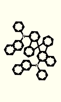 c1ccc(N(c2ccc3ccccc3c2)c2cccc3c2-c2ccccc2C32c3ccccc3-c3c2cc(N(c2ccccc2)c2ccc4ccccc4c2)c2ccccc32)cc1